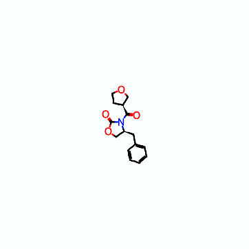 O=C1OC[C@H](Cc2ccccc2)N1C(=O)[C@H]1CCOC1